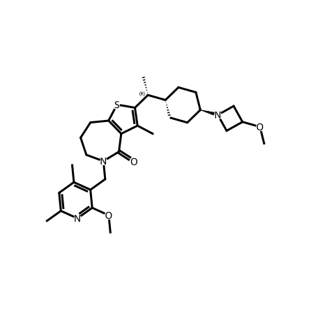 COc1nc(C)cc(C)c1CN1CCCc2sc([C@H](C)[C@H]3CC[C@H](N4CC(OC)C4)CC3)c(C)c2C1=O